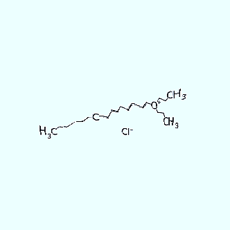 CCCCCCCCCCCCCCCC[O+](CCC)CCC.[Cl-]